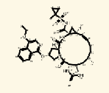 CCOc1cnc(O[C@@H]2C[C@H]3C(=O)N[C@]4(C(=O)NS(=O)(=O)C5(C)CC5)C[C@H]4C=CCC[C@H](C)C[C@@H](C)[C@H](NC(=O)O)C(=O)N3C2)c2ccccc12